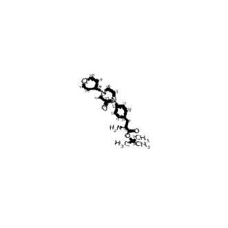 CC(C)(C)OC(=O)[C@@H](N)Cc1ccc(N2CCN(C3CCOCC3)CC2=O)cc1